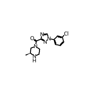 C[C@H]1CN(C(=O)c2ncn(-c3cccc(Cl)c3)n2)CCN1